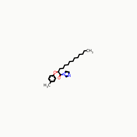 CCCCCCCCCCCCC(Oc1ccc(C)cc1)C(=O)n1ccnc1